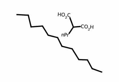 CCCC(C(=O)O)C(=O)O.CCCCCCCCCCCC